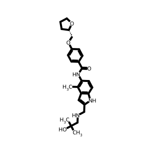 Cc1c(NC(=O)c2ccc(OC[C@@H]3CCCO3)cc2)ccc2[nH]c(CNCC(C)(C)O)cc12